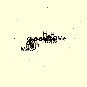 COC(=O)N[C@@H](C(C)C)C(O)N1CCC[C@H]1c1ncc(-c2ccc(-c3ccc([C@@H](C)NC(=O)C4CCCCC4C(=O)N(NC(=O)OC)C(C)C)cc3)cc2)[nH]1